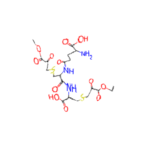 CCOC(=O)C(=O)CSCC(NC(=O)C(CSCC(=O)C(=O)OCC)NC(=O)CCC(N)C(=O)O)C(=O)O